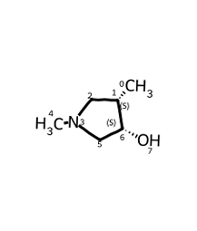 C[C@H]1CN(C)C[C@H]1O